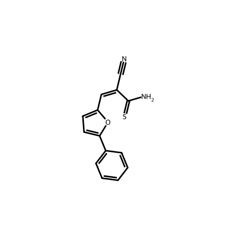 N#CC(=Cc1ccc(-c2ccccc2)o1)C(N)=S